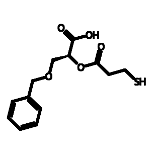 O=C(CCS)O[C@@H](COCc1ccccc1)C(=O)O